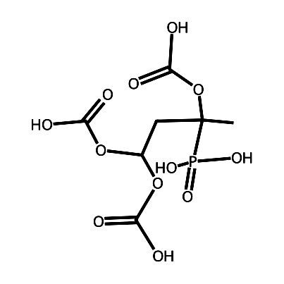 CC(CC(OC(=O)O)OC(=O)O)(OC(=O)O)P(=O)(O)O